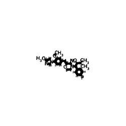 COc1cc(/C=C2\OCCN3C2=NOC(C(C)C)C3c2ccc(F)cc2)ccc1-n1cnc(C)c1